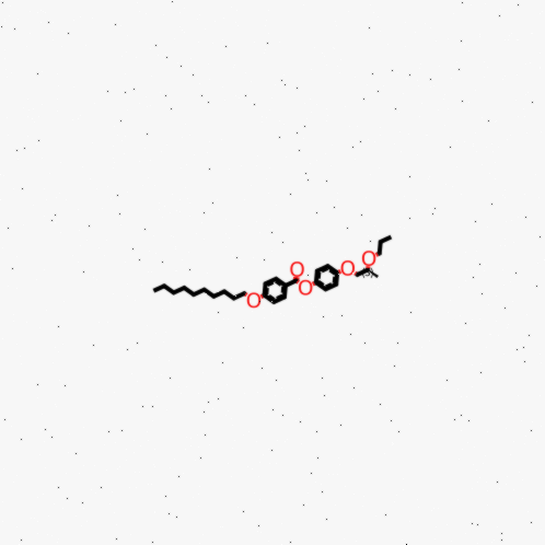 CCCCCCCCCCOc1ccc(C(=O)Oc2ccc(OC[C@H](C)OCCC)cc2)cc1